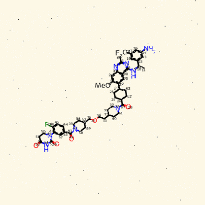 COc1cc2nc(C)nc(N[C@H](C)c3cc(N)cc(C(F)(F)F)c3)c2cc1C1CCC(C(=O)N2CCC(CCOCC3CCN(C(=O)c4ccc(F)c(N5CCC(=O)NC5=O)c4)CC3)CC2)CC1